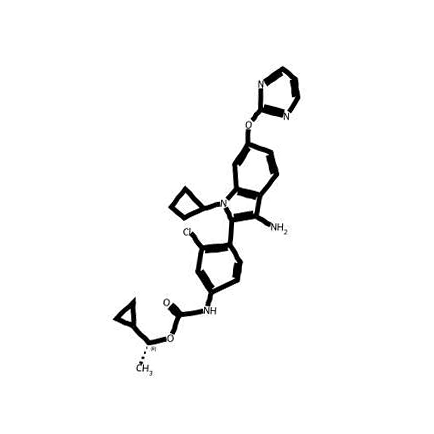 C[C@@H](OC(=O)Nc1ccc(-c2c(N)c3ccc(Oc4ncccn4)cc3n2C2CCC2)c(Cl)c1)C1CC1